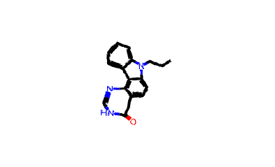 CCCn1c2ccccc2c2c3nc[nH]c(=O)c3ccc21